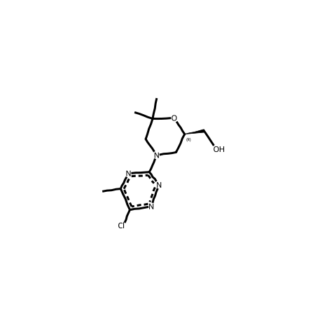 Cc1nc(N2C[C@H](CO)OC(C)(C)C2)nnc1Cl